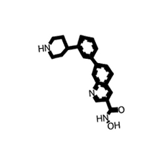 O=C(NO)c1cnc2cc(-c3cccc(C4CCNCC4)c3)ccc2c1